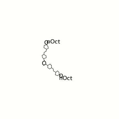 CCCCCCCCOC1CCC(CCC2CCC(c3cccc(C4CCC(CCC5CCC(OCCCCCCCC)CC5)CC4)c3)CC2)CC1